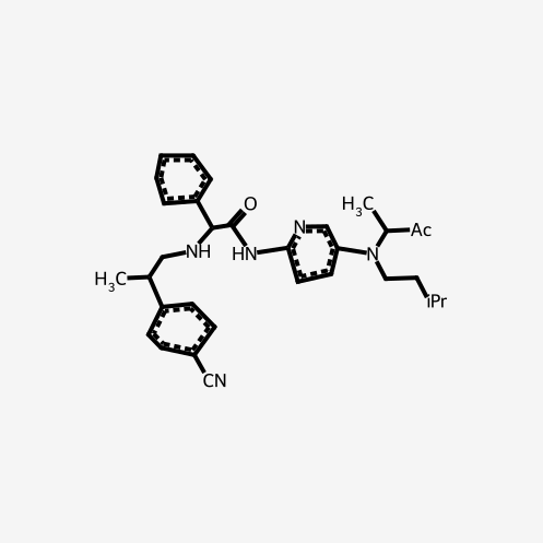 CC(=O)C(C)N(CCC(C)C)c1ccc(NC(=O)C(NCC(C)c2ccc(C#N)cc2)c2ccccc2)nc1